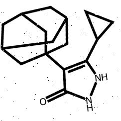 O=c1[nH][nH]c(C2CC2)c1C12CC3CC(CC(C3)C1)C2